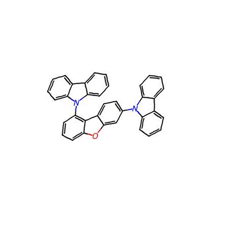 c1cc(-n2c3ccccc3c3ccccc32)c2c(c1)oc1cc(-n3c4ccccc4c4ccccc43)ccc12